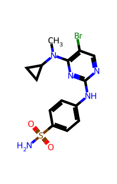 CN(c1nc(Nc2ccc(S(N)(=O)=O)cc2)ncc1Br)C1CC1